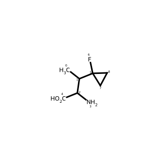 CC(C(N)C(=O)O)C1(F)CC1